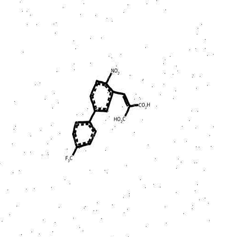 O=C(O)C(=Cc1cc(-c2ccc(C(F)(F)F)cc2)ccc1[N+](=O)[O-])C(=O)O